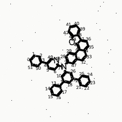 c1ccc(-c2ccc(N(c3cc(-c4ccccc4)cc(-c4ccccc4)c3)c3ccc4c(ccc5ccc6c7ccccc7oc6c54)c3)nc2)cc1